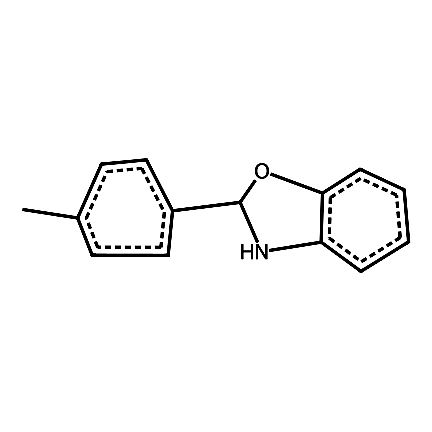 Cc1ccc(C2Nc3ccccc3O2)cc1